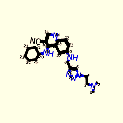 CN(C)CCn1cc(CNc2ccc3ncc(C#N)c(NC4CCCCC4)c3c2)nn1